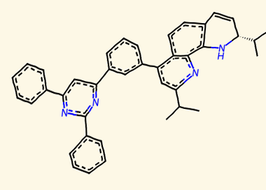 CC(C)c1cc(-c2cccc(-c3cc(-c4ccccc4)nc(-c4ccccc4)n3)c2)c2ccc3c(c2n1)N[C@@H](C(C)C)C=C3